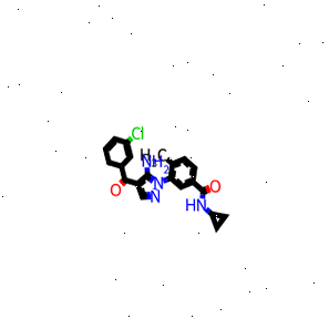 Cc1ccc(C(=O)NC2CC2)cc1-n1ncc(C(=O)C2C=C(Cl)C=CC2)c1N